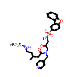 CC(CCNC(=O)O)CC(=O)N(CC(=O)CNS(=O)(=O)c1ccc2oc3ccccc3c2c1)Cc1ccncc1